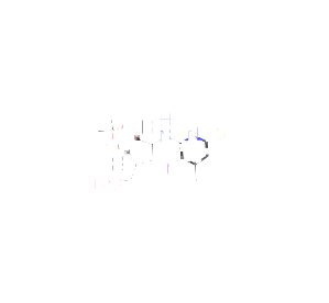 CSc1cc(C)c(I)c(NC2CC(CO)[C@H]3OC(C)(C)O[C@@H]23)n1